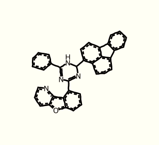 c1ccc(C2=NC(c3cccc4oc5cccnc5c34)=NC(c3ccc4c5c(cccc35)-c3ccccc3-4)N2)cc1